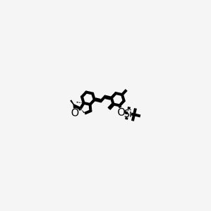 C=C1/C(=C\C=C2/CCC[C@@]3(C)C2CC[C@@]32O[C@H]2C)CC(C)CC1O[Si](C)(C)C(C)(C)C